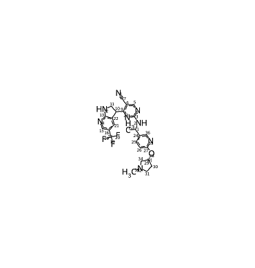 CC(Nc1ncc(C#N)c(C2CNc3ncc(C(F)(F)F)cc32)n1)c1ccc(O[C@@H]2CCN(C)C2)nc1